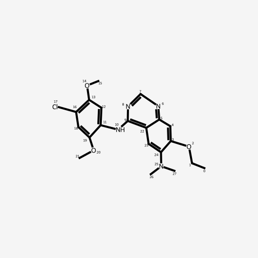 CCOc1cc2ncnc(Nc3cc(OC)c(Cl)cc3OC)c2cc1N(C)C